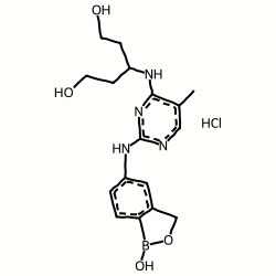 Cc1cnc(Nc2ccc3c(c2)COB3O)nc1NC(CCO)CCO.Cl